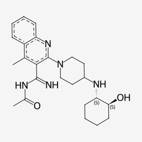 CC(=O)NC(=N)c1c(N2CCC(N[C@H]3CCCC[C@@H]3O)CC2)nc2ccccc2c1C